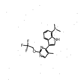 Cc1cnc(OCC(F)(F)F)nc1-c1c[nH]c2c(P(C)C)cccc12